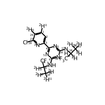 [2H]c1cc(-c2nc(NC([2H])(C([2H])([2H])[2H])C(F)(F)F)nc(NC([2H])(C([2H])([2H])[2H])C(F)(F)F)n2)nc(Cl)c1[2H]